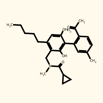 C=C(C)c1ccc(C)cc1-c1c(O)cc(CCCCC)c(CN(C)C(=O)C2CC2)c1O